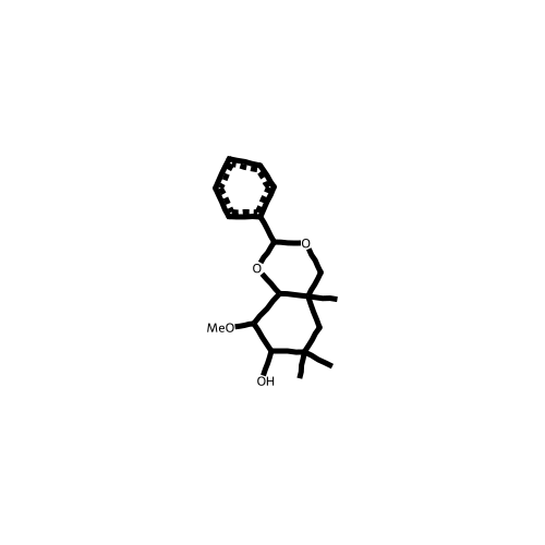 COC1C(O)C(C)(C)CC2(C)COC(c3ccccc3)OC12